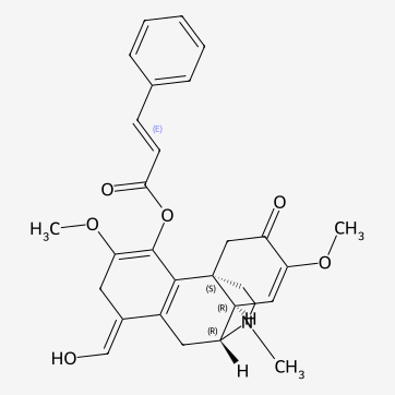 COC1=C[C@H]2[C@H]3CC4=C(C(OC(=O)/C=C/c5ccccc5)=C(OC)CC4=CO)[C@@]2(CCN3C)CC1=O